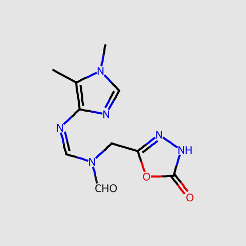 Cc1c(/N=C\N(C=O)Cc2n[nH]c(=O)o2)ncn1C